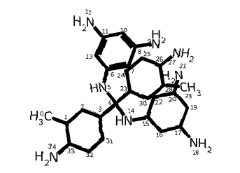 CC1CC(C(Nc2cc(N)cc(N)c2)(NC2CC(N)CC(N)C2)C2CCC(N)C(C)C2)CCC1N